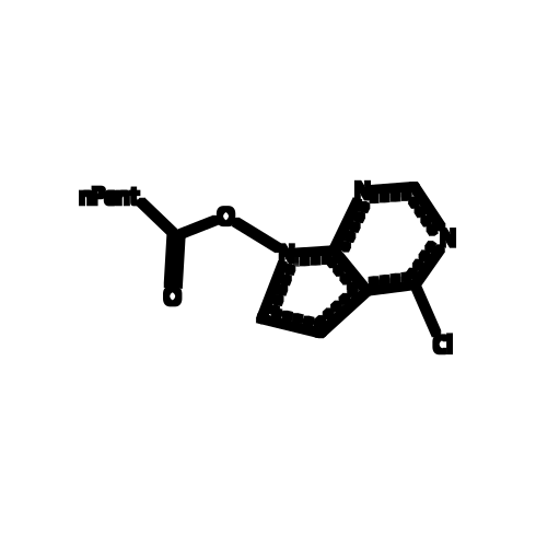 CCCCCC(=O)On1ccc2c(Cl)ncnc21